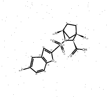 O=C(O)[C@@H]1[C@H]2CC[C@H](C2)N1S(=O)(=O)c1cc2cc(F)ccc2o1